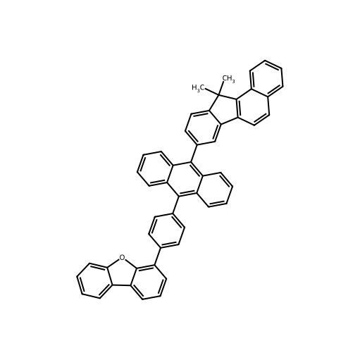 CC1(C)c2ccc(-c3c4ccccc4c(-c4ccc(-c5cccc6c5oc5ccccc56)cc4)c4ccccc34)cc2-c2ccc3ccccc3c21